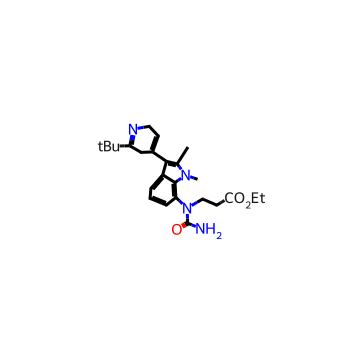 CCOC(=O)CCN(C(N)=O)c1cccc2c(C3=CCN=C(C(C)(C)C)C3)c(C)n(C)c12